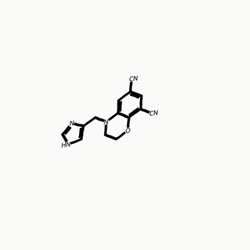 N#Cc1cc(C#N)c2c(c1)N(Cc1c[nH]cn1)CCO2